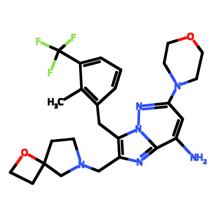 Cc1c(Cc2c(CN3CCC4(CCO4)C3)nc3c(N)cc(N4CCOCC4)nn23)cccc1C(F)(F)F